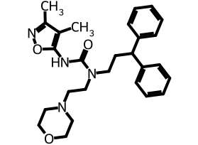 Cc1noc(NC(=O)N(CCC(c2ccccc2)c2ccccc2)CCN2CCOCC2)c1C